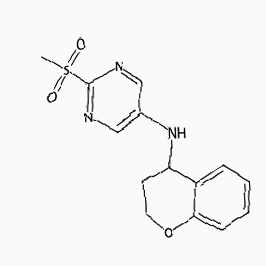 CS(=O)(=O)c1ncc(NC2CCOc3ccccc32)cn1